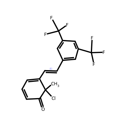 CC1(Cl)C(=O)C=CC=C1/C=C/c1cc(C(F)(F)F)cc(C(F)(F)F)c1